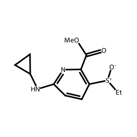 CC[S+]([O-])c1ccc(NC2CC2)nc1C(=O)OC